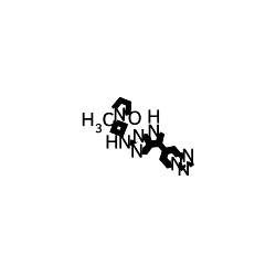 C[C@]1(N2CCCC2=O)C[C@H](Nc2ncc3c(-c4ccn5ncnc5c4)c[nH]c3n2)C1